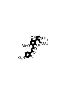 COc1cc(OC)c(C2CCN(C)C2COC(C)=O)c(O)c1C(=O)CC(=O)c1ccc([N+](=O)[O-])cc1Cl